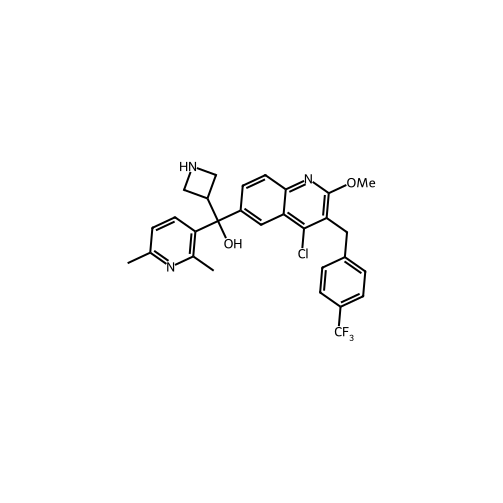 COc1nc2ccc(C(O)(c3ccc(C)nc3C)C3CNC3)cc2c(Cl)c1Cc1ccc(C(F)(F)F)cc1